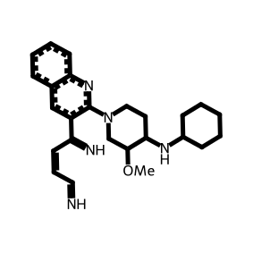 COC1CN(c2nc3ccccc3cc2C(=N)/C=C\C=N)CCC1NC1CCCCC1